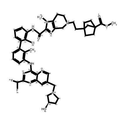 COC(=O)C12CCC(CCN3CCc4c(nc(C(=O)Nc5cccc(-c6cccc(Nc7nc(C(F)F)nc8cc(CN9CC[C@@H](O)C9)cnc78)c6C)c5Cl)n4C)C3)(CC1)C2